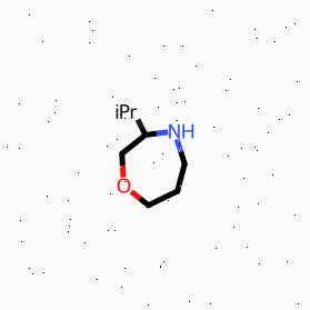 CC(C)C1COCCCN1